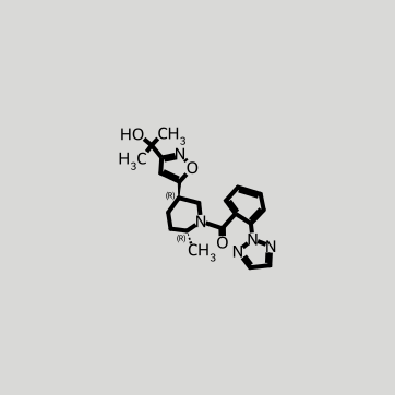 C[C@@H]1CC[C@@H](c2cc(C(C)(C)O)no2)CN1C(=O)c1ccccc1-n1nccn1